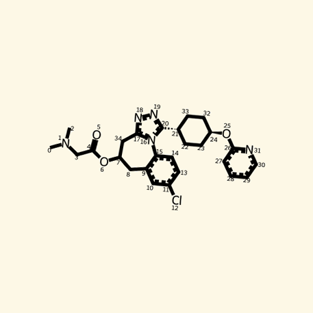 CN(C)CC(=O)OC1Cc2cc(Cl)ccc2-n2c(nnc2[C@H]2CC[C@H](Oc3ccccn3)CC2)C1